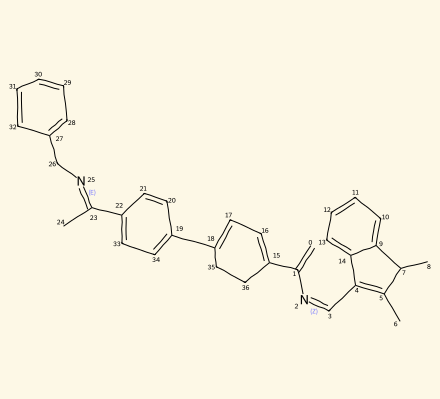 C=C(/N=C\C1=C(C)C(C)c2ccccc21)C1=CC=C(c2ccc(/C(C)=N/Cc3ccccc3)cc2)CC1